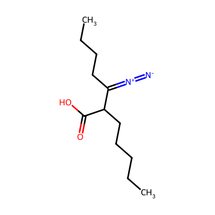 CCCCCC(C(=O)O)C(CCCC)=[N+]=[N-]